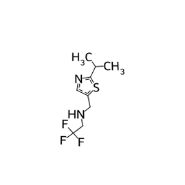 CC(C)c1ncc(CNCC(F)(F)F)s1